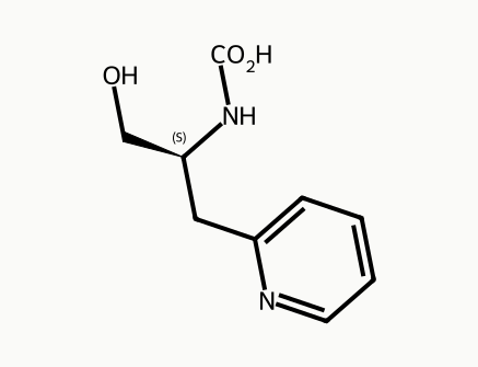 O=C(O)N[C@H](CO)Cc1ccccn1